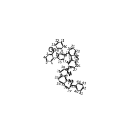 O=P(c1ccccc1)(c1ccccc1)c1cccc(-c2cccc3sc4ccc(-c5ccc6ccc7ccc(-c8ccccc8)nc7c6n5)cc4c23)c1